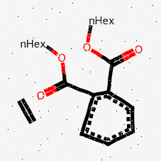 C=C.CCCCCCOC(=O)c1ccccc1C(=O)OCCCCCC